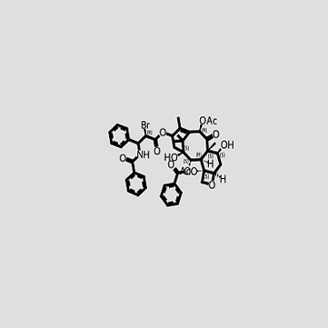 CC(=O)O[C@H]1C(=O)[C@@]2(C)[C@H]([C@H](OC(=O)c3ccccc3)[C@]3(O)CC(OC(=O)[C@H](Br)C(NC(=O)c4ccccc4)c4ccccc4)C(C)=C1C3(C)C)[C@]1(OC(C)=O)CO[C@@H]1C[C@@H]2O